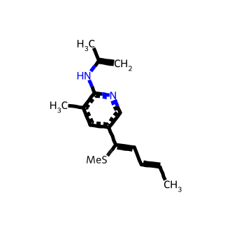 C=C(C)Nc1ncc(/C(=C/C=C/C)SC)cc1C